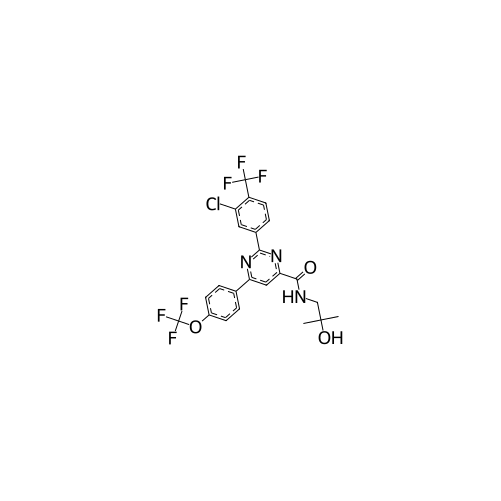 CC(C)(O)CNC(=O)c1cc(-c2ccc(OC(F)(F)F)cc2)nc(-c2ccc(C(F)(F)F)c(Cl)c2)n1